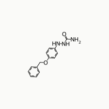 NC(=O)NNc1ccc(OCc2ccccc2)cc1